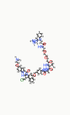 CNN(C)Cc1cc2ccccc2n1CCC(=O)NCCOCCOCCC(=O)NC(C(=O)N[C@@H](C)C(=O)Nc1ccc(COc2cc3c(c4ccccc24)[C@H](CCl)CN3C(=O)c2cc3cc(OCCN(C)C)ccc3[nH]2)cc1)C(C)C